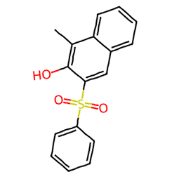 Cc1c(O)c(S(=O)(=O)c2ccccc2)cc2ccccc12